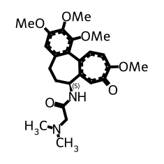 COc1cc2c(c(OC)c1OC)-c1ccc(OC)c(=O)cc1[C@@H](NC(=O)CN(C)C)CC2